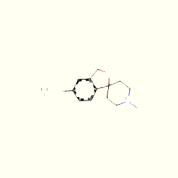 COc1ccc2c(c1)COC21CCN(C)CC1